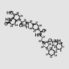 NC(=O)C(c1ccccc1)(c1ccccc1)[C@@H]1CCN(CCNC(=O)c2ccc(CNC[C@@H](O)c3ccc(O)c4[nH]c(=O)ccc34)cc2)C1